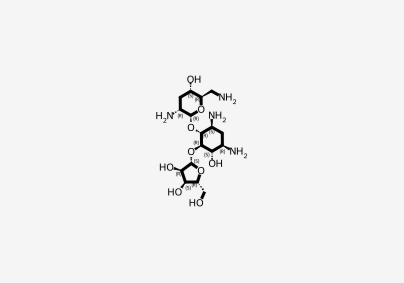 NC[C@H]1O[C@H](O[C@H]2[C@H](O[C@@H]3O[C@H](CO)[C@@H](O)[C@H]3O)[C@@H](O)[C@H](N)C[C@@H]2N)[C@H](N)C[C@@H]1O